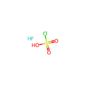 F.O=S(=O)(O)Cl